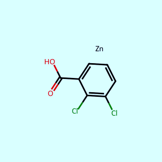 O=C(O)c1cccc(Cl)c1Cl.[Zn]